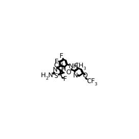 Cc1cc(OCC(F)(F)F)cnc1C(=O)Nc1cc(F)c(F)c([C@]2(C)N=C(N)S[C@@]3(CF)C[C@H]32)c1